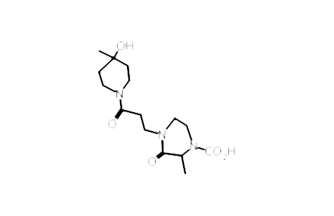 CC1C(=O)N(CCC(=O)N2CCC(C)(O)CC2)CCN1C(=O)O